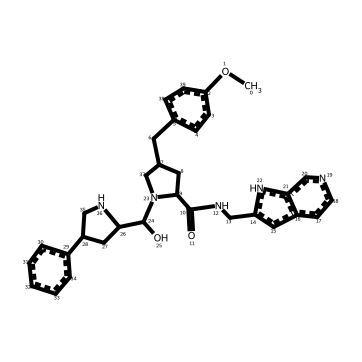 COc1ccc(CC2CC(C(=O)NCc3cc4ccncc4[nH]3)N(C(O)C3CC(c4ccccc4)CN3)C2)cc1